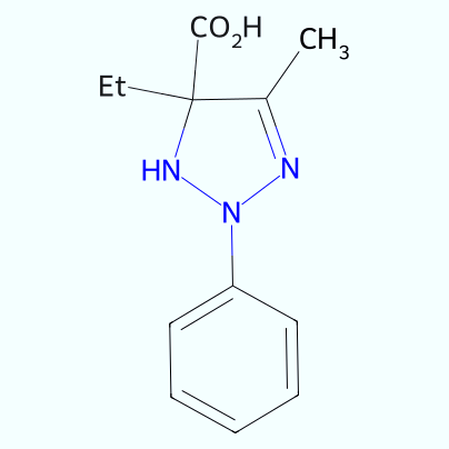 CCC1(C(=O)O)NN(c2ccccc2)N=C1C